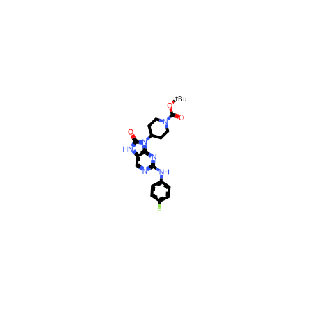 CC(C)(C)OC(=O)N1CCC(n2c(=O)[nH]c3cnc(Nc4ccc(F)cc4)nc32)CC1